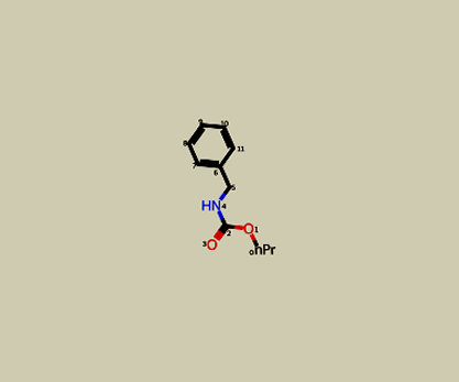 CCCOC(=O)NCc1ccccc1